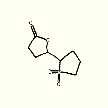 O=C1CCC(C2CCCS2(=O)=O)O1